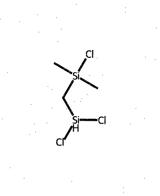 C[Si](C)(Cl)C[SiH](Cl)Cl